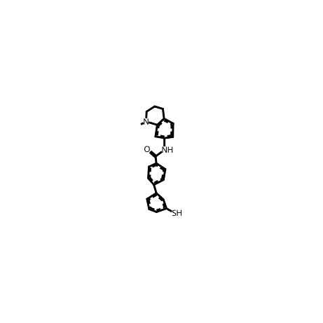 CN1CCCc2ccc(NC(=O)c3ccc(-c4cccc(S)c4)cc3)cc21